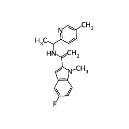 C=C(NC(C)c1ccc(C)cn1)c1cc2cc(F)ccc2n1C